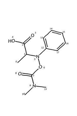 CC(C(=O)O)N(OC(=O)N(C)C)c1ccccc1